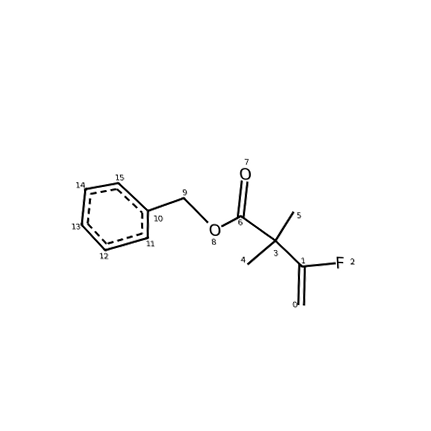 C=C(F)C(C)(C)C(=O)OCc1ccccc1